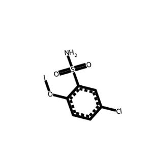 NS(=O)(=O)c1cc(Cl)ccc1OI